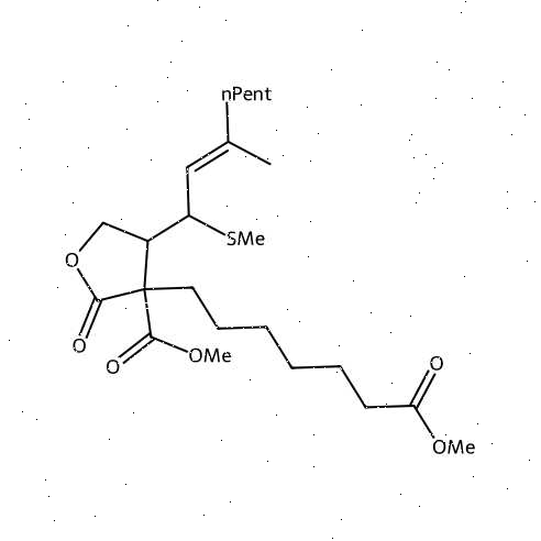 CCCCCC(C)=CC(SC)C1COC(=O)C1(CCCCCCC(=O)OC)C(=O)OC